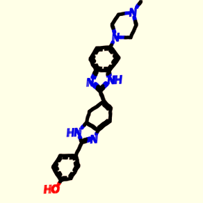 CN1CCN(c2ccc3nc(C4=CC=C5N=C(c6ccc(O)cc6)NC5C4)[nH]c3c2)CC1